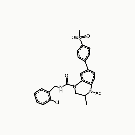 CC(=O)N1c2ccc(-c3ccc(S(C)(=O)=O)cc3)cc2N(C(=O)NCc2ccccc2Cl)CC1C